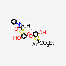 CCOC(=O)/C(C(C)=O)=C1\Sc2c(O)ccc(OOc3ccc(O)c4c3S/C(=C3/C(=O)N(c5ccccc5)N=C3C)S4)c2S1